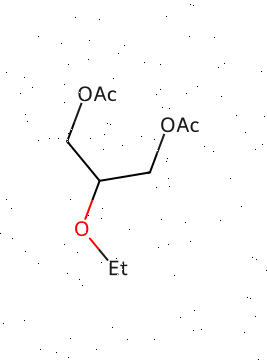 CCOC(COC(C)=O)COC(C)=O